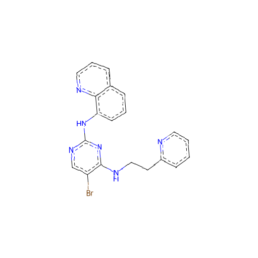 Brc1cnc(Nc2cccc3cccnc23)nc1NCCc1ccccn1